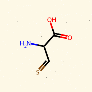 NC(C=S)C(=O)O